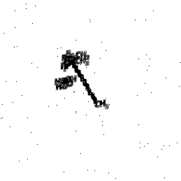 CCCCCCCCCCCCCCCCCCCC(CC(F)(F)F)(CC(F)(F)F)NC(C)C.O=P(O)(O)O